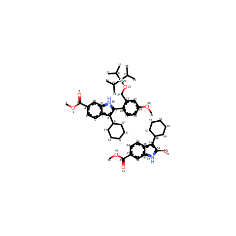 COC(=O)c1ccc2c(C3CCCCC3)c(-c3ccc(OC)cc3CO[Si](C(C)C)(C(C)C)C(C)C)[nH]c2c1.COC(=O)c1ccc2c(C3CCCCC3)c(Br)[nH]c2c1